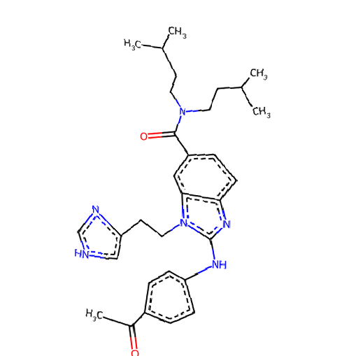 CC(=O)c1ccc(Nc2nc3ccc(C(=O)N(CCC(C)C)CCC(C)C)cc3n2CCc2c[nH]cn2)cc1